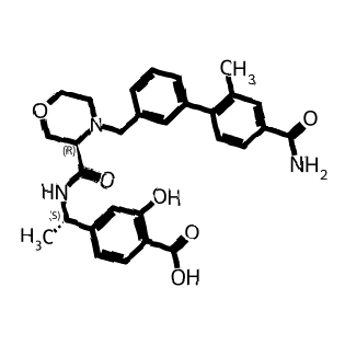 Cc1cc(C(N)=O)ccc1-c1cccc(CN2CCOC[C@@H]2C(=O)N[C@@H](C)c2ccc(C(=O)O)c(O)c2)c1